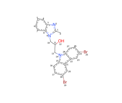 Cc1nc2ccccc2n1CC(O)Cn1c2ccc(Br)cc2c2cc(Br)ccc21